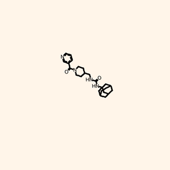 O=C(NCC1CCN(C(=O)c2cccnc2)CC1)NC12CC3CC(CC(C3)C1)C2